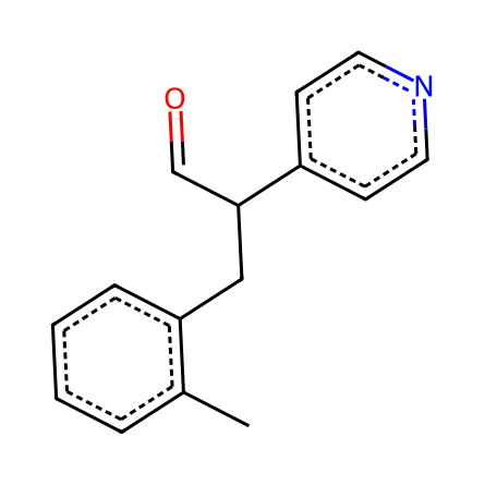 Cc1ccccc1CC(C=O)c1ccncc1